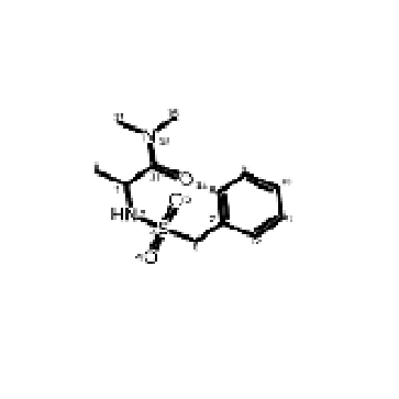 CC(NS(=O)(=O)Cc1ccccc1)C(=O)N(C)C